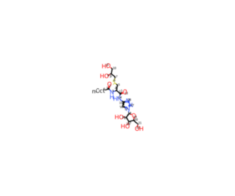 CCCCCCCCC(=O)NC(CSCC(O)CO)C(=O)Nc1cn([C@H]2OC(CO)[C@@H](O)[C@H]2O)nn1